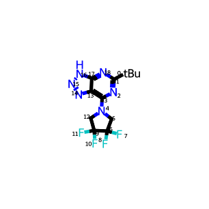 CC(C)(C)c1nc(N2CC(F)(F)C(F)(F)C2)c2nn[nH]c2n1